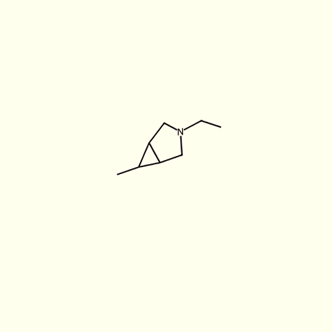 CCN1CC2C(C)C2C1